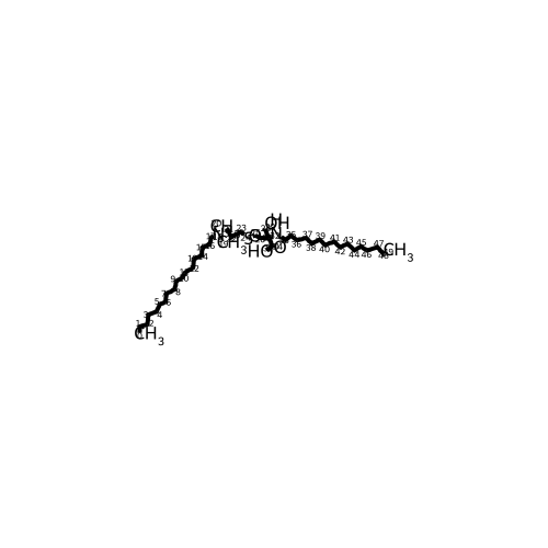 CCCCCCCCCCCCCCCCCC[N+](C)(C)CCCSOCC(CO)(CO)NC(=O)CCCCCCCCCCCCCCC